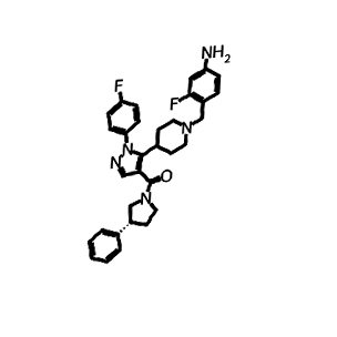 Nc1ccc(CN2CCC(c3c(C(=O)N4CC[C@H](c5ccccc5)C4)cnn3-c3ccc(F)cc3)CC2)c(F)c1